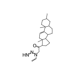 C=CN(CC(=O)C1CCC2C3CCC4CC(C)CCC4(C)C3=CCC12C)N=N